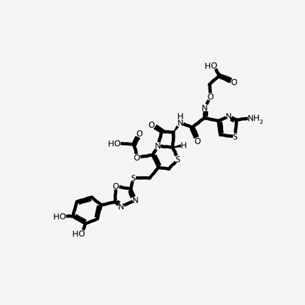 Nc1nc(C(=NOCC(=O)O)C(=O)N[C@@H]2C(=O)N3C(OC(=O)O)=C(CSc4nnc(-c5ccc(O)c(O)c5)o4)CS[C@@H]23)cs1